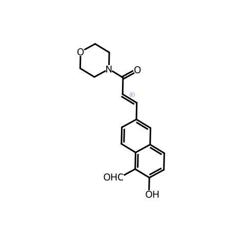 O=Cc1c(O)ccc2cc(/C=C/C(=O)N3CCOCC3)ccc12